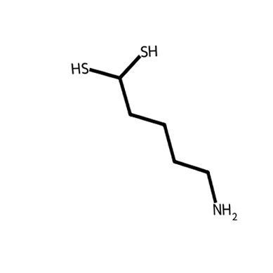 NCCCCC(S)S